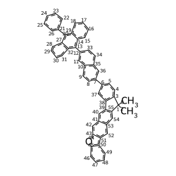 CC1(C)c2ccc(-c3ccc4cc(-c5c6ccccc6c(-c6ccccc6)c6ccccc56)ccc4c3)cc2-c2cc3cc4oc5ccccc5c4cc3cc21